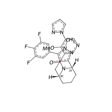 COc1c(C(=O)N2[C@@H]3CCC[C@H]2c2nn(C)c(-c4cc(F)c(F)c(F)c4)c2C3)cncc1-n1cccn1